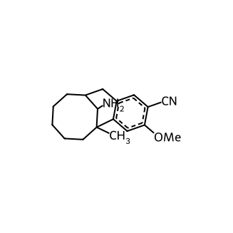 COc1cc2c(cc1C#N)CC1CCCCCC2(C)C1N